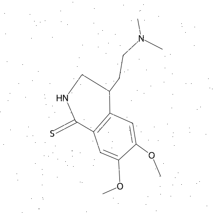 COc1cc2c(cc1OC)C(CCN(C)C)CNC2=S